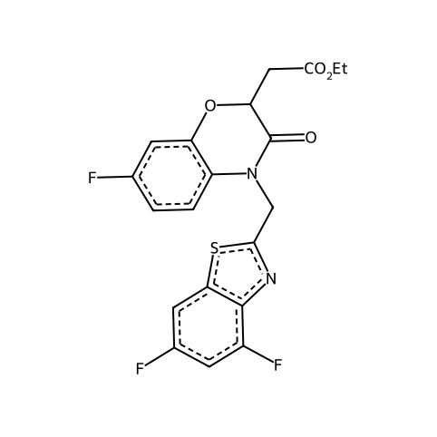 CCOC(=O)CC1Oc2cc(F)ccc2N(Cc2nc3c(F)cc(F)cc3s2)C1=O